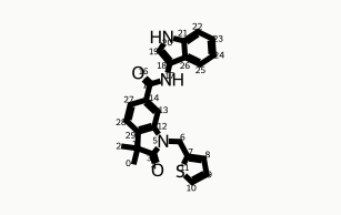 CC1(C)C(=O)N(Cc2cccs2)c2cc(C(=O)Nc3c[nH]c4ccccc34)ccc21